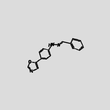 C(=N\Nc1ccc(-c2cnco2)cc1)/c1ccccc1